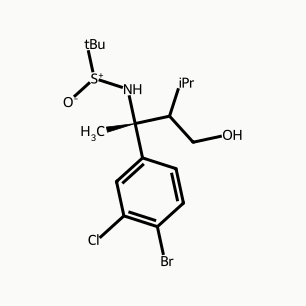 CC(C)C(CO)[C@@](C)(N[S+]([O-])C(C)(C)C)c1ccc(Br)c(Cl)c1